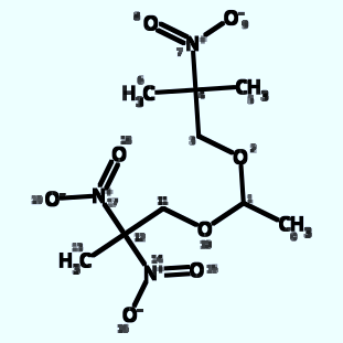 CC(OCC(C)(C)[N+](=O)[O-])OCC(C)([N+](=O)[O-])[N+](=O)[O-]